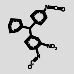 O=C=Nc1ccc(C(c2ccccc2)c2ccc(N=C=O)c([N+](=O)[O-])c2)cc1